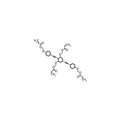 C=CC(=O)OCOc1ccc(C#Cc2cc(OCOC(=O)C=C)c(C#Cc3ccc(OCOC(=O)C=C)cc3)c(OCOC(=O)C=C)c2)cc1